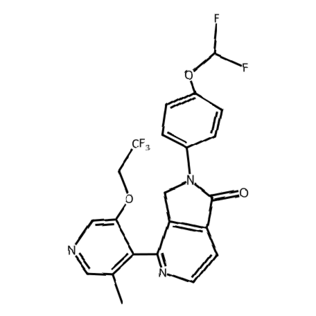 Cc1cncc(OCC(F)(F)F)c1-c1nccc2c1CN(c1ccc(OC(F)F)cc1)C2=O